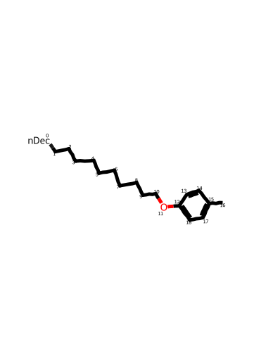 CCCCCCCCCCCCCCCCCCCCOc1ccc(C)cc1